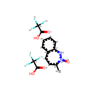 O=C(O)C(F)(F)F.O=C(O)C(F)(F)F.O=[n+]1nc2ccccc2cc[c]1[Tl]